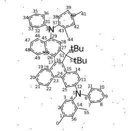 Cc1ccc(N(c2ccccc2)c2ccc3c4c(c5ccccc5c3c2)-c2c(cc(N(c3ccccc3)c3ccc(C)cc3C)c3ccccc23)C4(C(C)(C)C)C(C)(C)C)c(C)c1